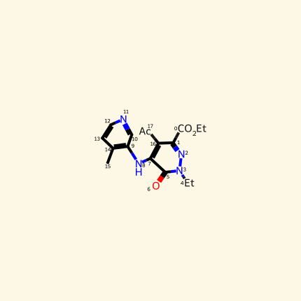 CCOC(=O)c1nn(CC)c(=O)c(Nc2cnccc2C)c1C(C)=O